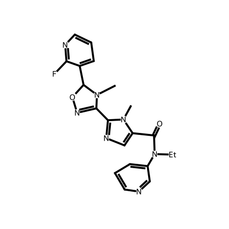 CCN(C(=O)c1cnc(C2=NOC(c3cccnc3F)N2C)n1C)c1cccnc1